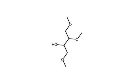 COCC(O)C(COC)OC